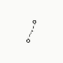 O=C(CCCCOc1ccccc1)OCCOc1ccccc1